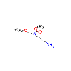 CC(C)(C)OCCCN(CCCCN)C(=O)OC(C)(C)C